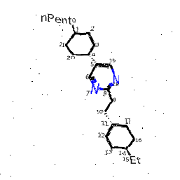 CCCCC[C@H]1CC[C@H](c2cnc(CC[C@H]3CC[C@H](CC)CC3)nc2)CC1